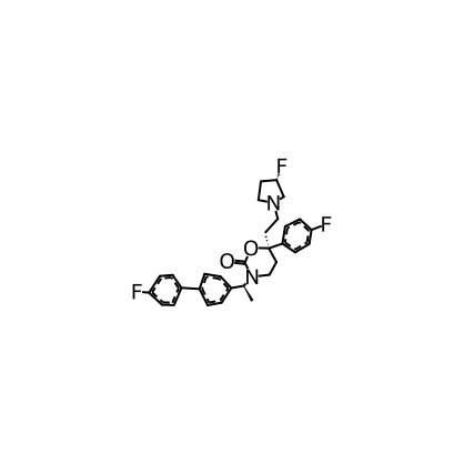 C[C@@H](c1ccc(-c2ccc(F)cc2)cc1)N1CC[C@](CCN2CC[C@H](F)C2)(c2ccc(F)cc2)OC1=O